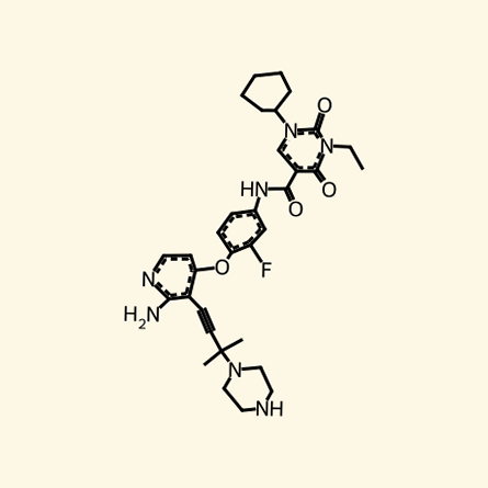 CCn1c(=O)c(C(=O)Nc2ccc(Oc3ccnc(N)c3C#CC(C)(C)N3CCNCC3)c(F)c2)cn(C2CCCCC2)c1=O